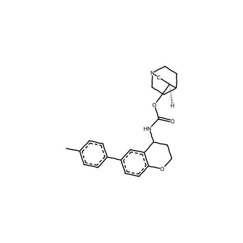 Cc1ccc(-c2ccc3c(c2)C(NC(=O)O[C@H]2CN4CCC2CC4)CCO3)cc1